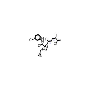 C=C(Cl)/C(F)=C\C=C(/F)C1C2CN(CC3CC3)C21C(=O)Nc1cccc(Cl)c1